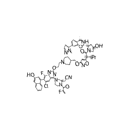 C=C(F)C(=O)N1CCN(c2nc(OCCN3CCC(COc4cc([C@@H](C(=O)N5C[C@H](O)C[C@H]5C(=O)N[C@@H](C)c5ccc(-c6ccnn6C)cc5)C(C)C)on4)CC3)nc3c(F)c(-c4cc(O)cc5ccccc45)c(Cl)cc23)C[C@@H]1CC#N